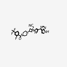 CC(F)(F)c1ccc(C(=O)N2CCN([C@H]3C[C@](CC#N)(n4cc(-c5ncnc6[nH]ccc56)cn4)C3)CC2)c(F)c1